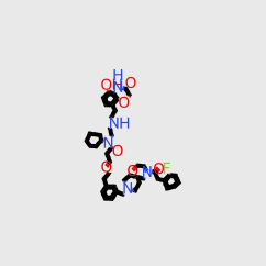 O=C1COc2c(CCNCCN(C(=O)CCOCCc3cccc(CN4CCC5(CC4)CN(C(=O)Cc4ccccc4F)CCO5)c3)C3CCCCC3)ccc(O)c2N1